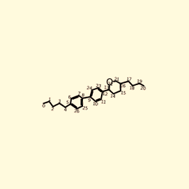 CCCCCc1ccc(-c2ccc(C3CCC(CCCC)CO3)cc2)cc1